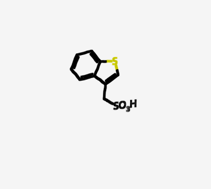 O=S(=O)(O)Cc1csc2ccccc12